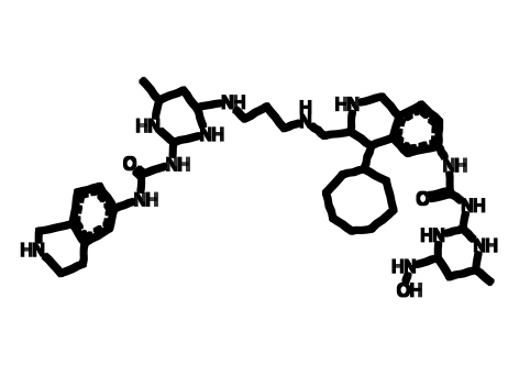 CC1CC(NO)NC(NC(=O)Nc2ccc3c(c2)C(C2CCCCCCC2)C(CNCCCNC2CC(C)NC(NC(=O)Nc4ccc5c(c4)CCNC5)N2)NC3)N1